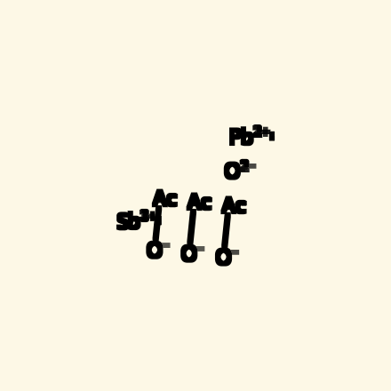 CC(=O)[O-].CC(=O)[O-].CC(=O)[O-].[O-2].[Pb+2].[Sb+3]